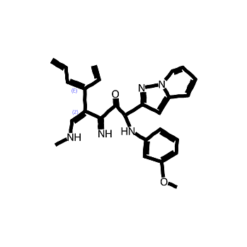 C=C/C=C(C=C)/C(=C/NC)C(=N)C(=O)C(Nc1cccc(OC)c1)c1cc2ccccn2n1